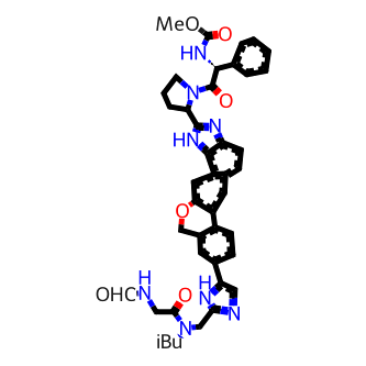 CC[C@H](C)N(Cc1ncc(-c2ccc3c(c2)COc2cc4c(ccc5nc(C6CCCN6C(=O)[C@H](NC(=O)OC)c6ccccc6)[nH]c54)cc2-3)[nH]1)C(=O)CNC=O